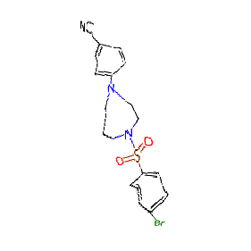 N#Cc1ccc(N2CCN(S(=O)(=O)c3ccc(Br)cc3)CC2)cc1